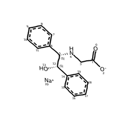 O=C([O-])CN[C@@H](c1ccccc1)[C@@H](O)c1ccccc1.[Na+]